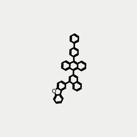 c1ccc(-c2ccc(-c3c4ccccc4c(-c4cc(-c5ccc6oc7ccccc7c6c5)c5ccccc5c4)c4ccccc34)cc2)cc1